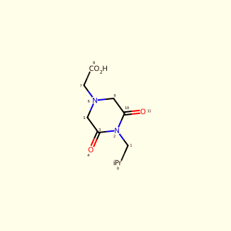 CC(C)CN1C(=O)CN(CC(=O)O)CC1=O